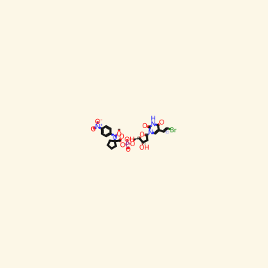 CON(c1ccc([N+](=O)[O-])cc1)C1(C(=O)OP(=O)(O)OC[C@H]2O[C@@H](n3cc(/C=C/Br)c(=O)[nH]c3=O)C[C@@H]2O)CCCC1